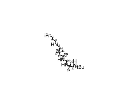 CC(C)CCCNCC(C)(C)C(C)(C)CC(=O)NCNC(C)(C)CNC(C)(C)C